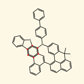 CC1(C)c2ccc(N(c3ccc(-c4ccccc4)cc3)c3cccc4c3sc3ccccc34)cc2-c2c(-c3cc4ccccc4c4ccccc34)ccc3cccc1c23